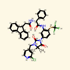 CC1(C)C(=O)N(c2ccc(SC(F)(F)F)c(NC(=O)[C@H](NC(=O)CC3c4ccccc4-c4ccccc43)c3ccccc3)c2)C(=O)N1Cc1ccnc(Cl)c1